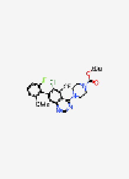 COc1cccc(F)c1-c1cc2ncnc(N3CCN(C(=O)OC(C)(C)C)CC3)c2c(C(F)(F)F)c1Cl